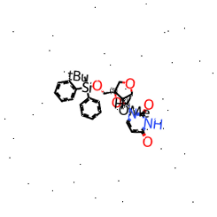 CO[C@@H]1C2OC[C@@]1(CO[Si](c1ccccc1)(c1ccccc1)C(C)(C)C)O[C@H]2n1ccc(=O)[nH]c1=O